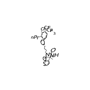 CCCc1c(OCCCCN2C(=O)NC(C)(c3ccsc3)C2=O)ccc2c1COC2(C(F)(F)F)C(F)(F)F